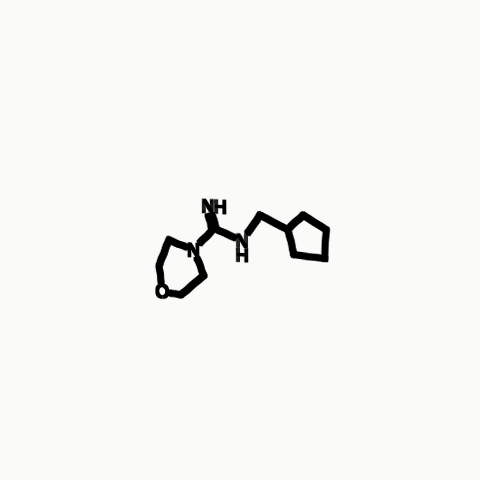 N=C(NCC1CCCC1)N1CCOCC1